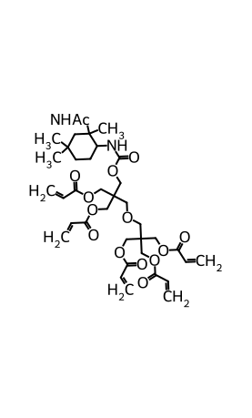 C=CC(=O)OCC(COCC(COC(=O)C=C)(COC(=O)C=C)COC(=O)NC1CCC(C)(C)CC1(C)NC(C)=O)(COC(=O)C=C)COC(=O)C=C